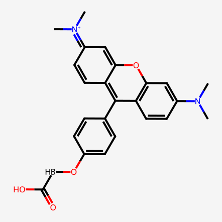 CN(C)c1ccc2c(-c3ccc(OBC(=O)O)cc3)c3ccc(=[N+](C)C)cc-3oc2c1